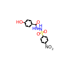 O=C(NNS(=O)(=O)c1ccc([N+](=O)[O-])cc1)c1ccc(O)cc1